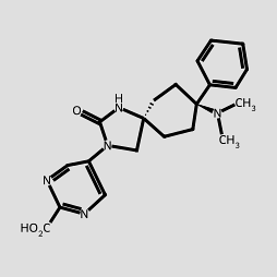 CN(C)[C@]1(c2ccccc2)CC[C@]2(CC1)CN(c1cnc(C(=O)O)nc1)C(=O)N2